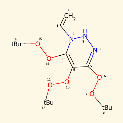 C=CN1NN=C(OOC(C)(C)C)C(OOC(C)(C)C)=C1OOC(C)(C)C